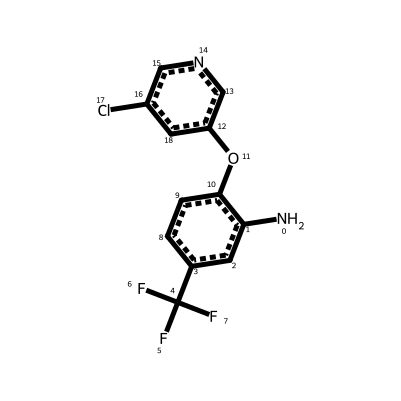 Nc1cc(C(F)(F)F)ccc1Oc1cncc(Cl)c1